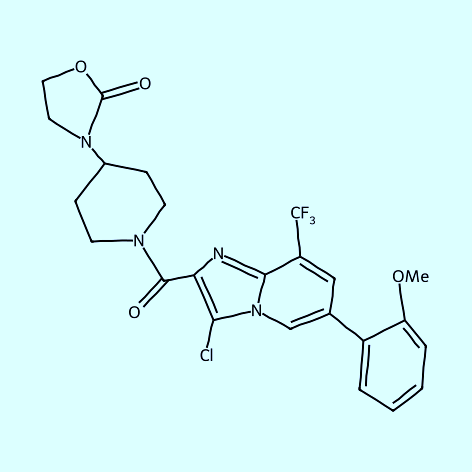 COc1ccccc1-c1cc(C(F)(F)F)c2nc(C(=O)N3CCC(N4CCOC4=O)CC3)c(Cl)n2c1